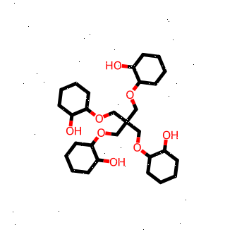 OC1CCCCC1OCC(COC1CCCCC1O)(COC1CCCCC1O)COC1CCCCC1O